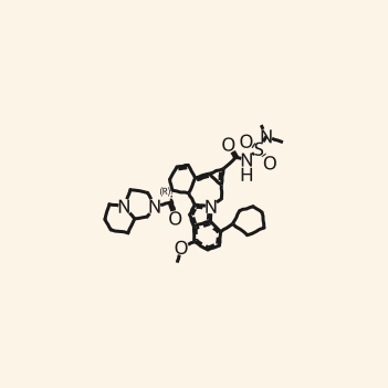 COc1ccc(C2CCCCC2)c2c1cc1n2CC2=C(C(=O)NS(=O)(=O)N(C)C)C2=C2C=CC[C@@H](C(=O)N3CCN4CCCCC4C3)C21